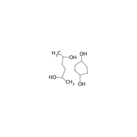 CC(O)CCC(C)O.OC1CCC(O)CC1